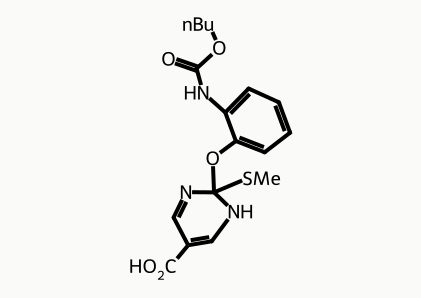 CCCCOC(=O)Nc1ccccc1OC1(SC)N=CC(C(=O)O)=CN1